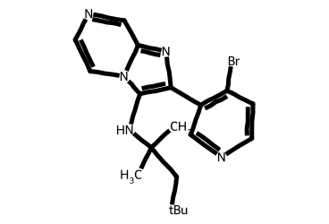 CC(C)(C)CC(C)(C)Nc1c(-c2cnccc2Br)nc2cnccn12